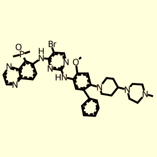 COc1cc(N2CCC(N3CCN(C)CC3)CC2)c(-c2ccccc2)cc1Nc1ncc(Br)c(Nc2ccc3nccnc3c2P(C)(C)=O)n1